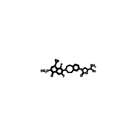 CC(=O)C(N)C1CN(c2ccc3c(c2)CCN(c2c(F)cc4c(=O)c(C(=O)O)cn(C5CC5)c4c2F)CC3)C(=O)O1